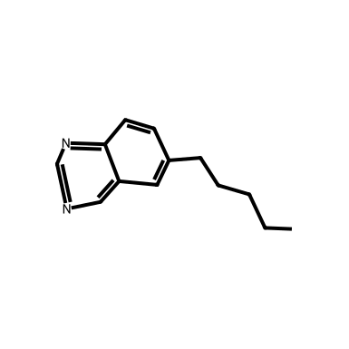 CCCCCc1ccc2ncncc2c1